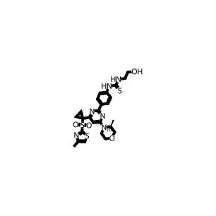 Cc1csc(S(=O)(=O)C2(c3cc(N4CCOC[C@@H]4C)nc(-c4ccc(NC(=S)NCCO)cc4)n3)CC2)n1